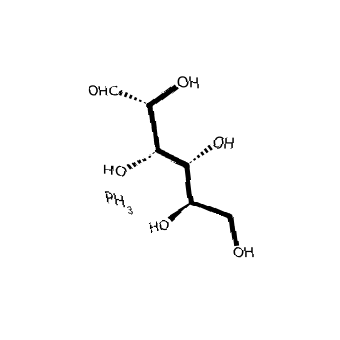 O=C[C@H](O)[C@@H](O)[C@H](O)[C@H](O)CO.P